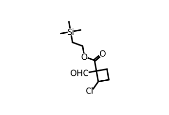 C[Si](C)(C)CCOC(=O)C1(C=O)CCC1Cl